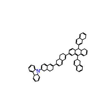 C1=CCC2C=C(C3C4C=CC(C5=CC6=CC=C(C7=CC8=CC=C(N9c%10ccccc%10C%10C=CC=CC%109)CC8CC7)CC6CC5)=CC4=C(C4C=Cc5ccccc5C4)C4=CC=CCC43)C=CC2=C1